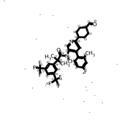 Cc1cc(F)ccc1-c1cc(C2CCC(C=O)CC2)ncc1N(C)C(=O)C(C)(C)c1cc(C(F)(F)F)cc(C(F)(F)F)c1